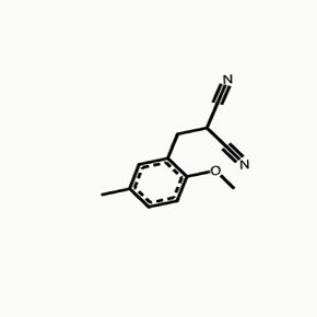 COc1ccc(C)cc1CC(C#N)C#N